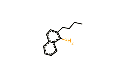 CCCCc1ccc2ccccc2c1P